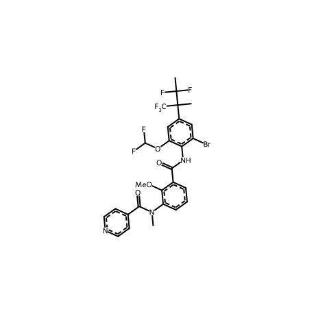 COc1c(C(=O)Nc2c(Br)cc(C(C)(C(C)(F)F)C(F)(F)F)cc2OC(F)F)cccc1N(C)C(=O)c1ccncc1